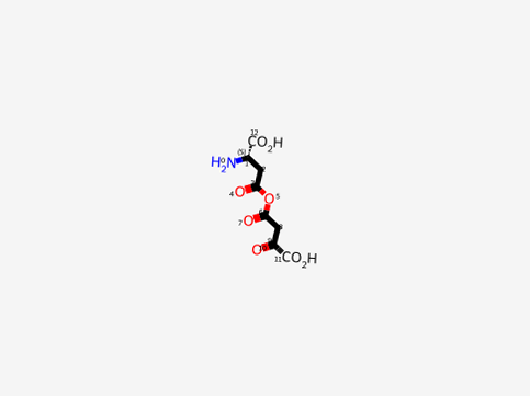 N[C@@H](CC(=O)OC(=O)CC(=O)C(=O)O)C(=O)O